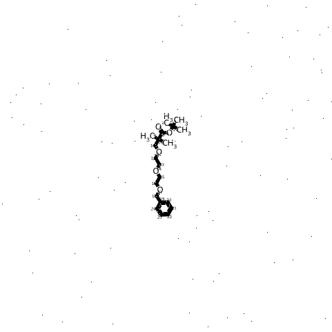 CC(C)(C)OC(=O)C(C)(C)COCCOCCOCc1ccccc1